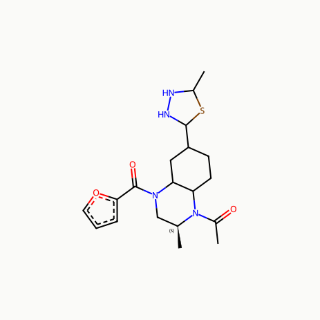 CC(=O)N1C2CCC(C3NNC(C)S3)CC2N(C(=O)c2ccco2)C[C@@H]1C